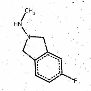 CNN1Cc2ccc(F)cc2C1